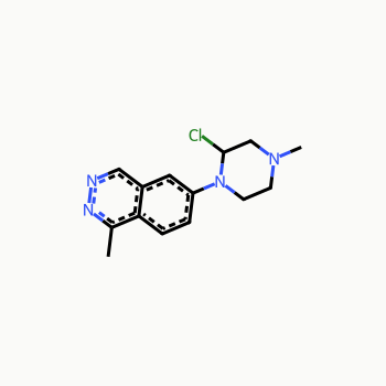 Cc1nncc2cc(N3CCN(C)CC3Cl)ccc12